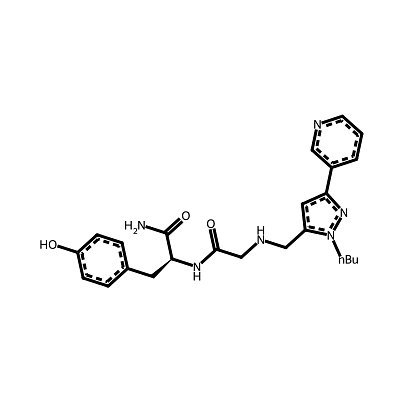 CCCCn1nc(-c2cccnc2)cc1CNCC(=O)N[C@@H](Cc1ccc(O)cc1)C(N)=O